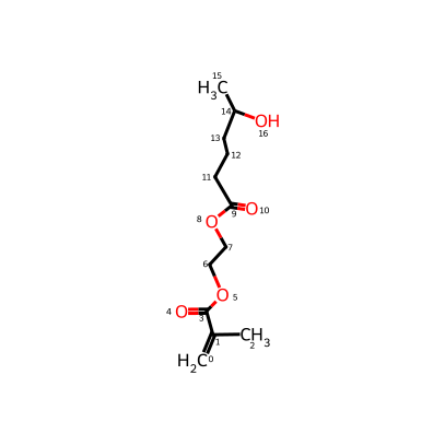 C=C(C)C(=O)OCCOC(=O)CCCC(C)O